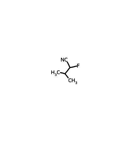 CC(C)C(F)C#N